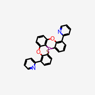 S=P12c3cccc(-c4ccccn4)c3Oc3cccc(c31)Oc1c(-c3ccccn3)cccc12